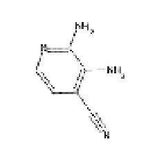 N#Cc1ccnc(N)c1N